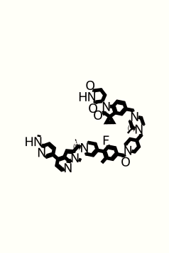 CNc1ccc(-c2ccnc3c2cc([C@H](C)N2CC=C(c4c(C)cc(C(=O)N5CCC(CN6CCN(Cc7ccc8c(c7)C7(CC7)C(=O)N8C7CCC(=O)NC7=O)C[C@@H]6C)CC5)cc4F)CC2)n3C)cn1